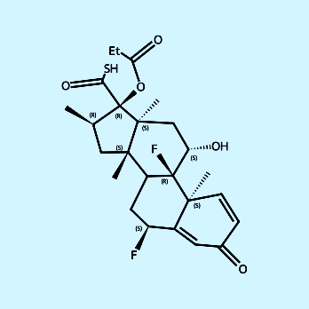 CCC(=O)O[C@]1(C(=O)S)[C@H](C)C[C@@]2(C)C3C[C@H](F)C4=CC(=O)C=C[C@]4(C)[C@@]3(F)[C@@H](O)C[C@@]21C